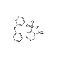 O=[N+]([O-])c1ccccc1S(=O)(=O)[O-].c1ccc([I+]c2ccccc2)cc1